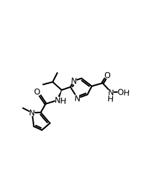 CC(C)[C@H](NC(=O)c1cccn1C)c1ncc(C(=O)NO)cn1